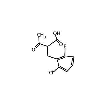 CC(=O)C(Cc1c(F)cccc1Cl)C(=O)O